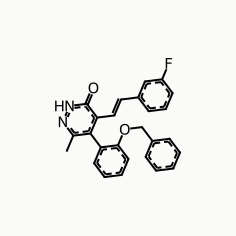 Cc1n[nH]c(=O)c(/C=C/c2cccc(F)c2)c1-c1ccccc1OCc1ccccc1